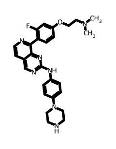 CN(C)CCOc1ccc(-c2nccc3cnc(Nc4ccc(N5CCNCC5)cc4)nc23)c(F)c1